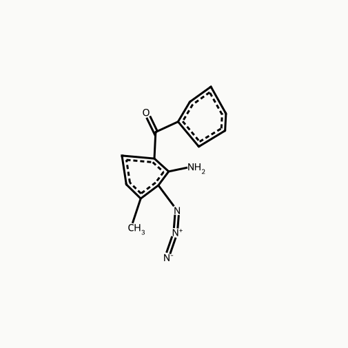 Cc1ccc(C(=O)c2ccccc2)c(N)c1N=[N+]=[N-]